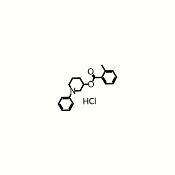 Cc1ccccc1C(=O)OC1CCCN(c2ccccc2)C1.Cl